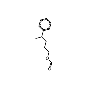 CC(CCCO[C]=O)c1ccccc1